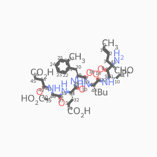 CC=CCC(N)(C=O)C(=O)[C@H](CC(C)C)NC(=O)[C@@H](NC(=O)[C@H](Cc1ccccc1C)NC(=O)[C@H](CCC(=O)O)NC(=O)[C@H](CC(=O)O)NC(=O)CCC(=O)O)C(C)(C)C